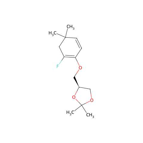 CC1(C)C=CC(OC[C@H]2COC(C)(C)O2)=C(F)C1